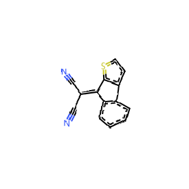 N#CC(C#N)=C1c2ccccc2-c2ccsc21